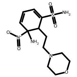 NC1([N+](=O)[O-])C=CC=C(S(N)(=O)=O)C1CCN1CCOCC1